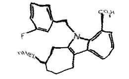 CCCCCCC1CCCc2c(n(Cc3cccc(F)c3)c3c(C(=O)O)cccc23)C1